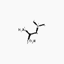 CN(C)CC([AsH2])C(=O)O